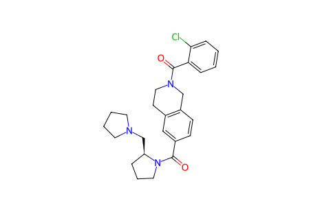 O=C(c1ccccc1Cl)N1CCc2cc(C(=O)N3CCC[C@H]3CN3CCCC3)ccc2C1